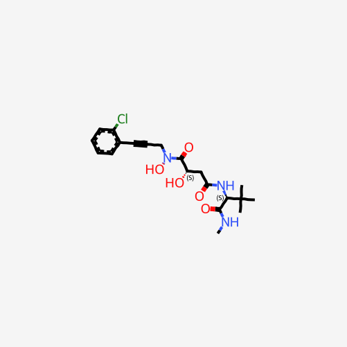 CNC(=O)[C@@H](NC(=O)C[C@H](O)C(=O)N(O)CC#Cc1ccccc1Cl)C(C)(C)C